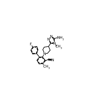 Cc1ccc(-c2ccc(F)cc2)c(N2CCC(c3nnc(N)n3C)CC2)c1C#N